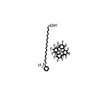 CCCCCCCCCCCCCCCCCCCCCCCCCCCC[NH2+]c1ccccc1.Fc1c(F)c(F)c([B-](c2c(F)c(F)c(F)c(F)c2F)(c2c(F)c(F)c(F)c(F)c2F)c2c(F)c(F)c(F)c(F)c2F)c(F)c1F